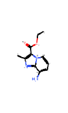 CCOC(=O)c1c(C)nc2c(N)cccn12